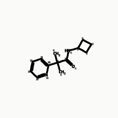 CC(C)(C(=O)NC1CCC1)c1ccccn1